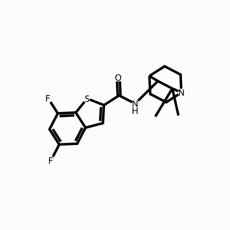 CC1(C)C(NC(=O)c2cc3cc(F)cc(F)c3s2)C2CCN1CC2